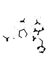 CC(=O)OC[C@H]1O[C@@H](n2c(=O)n(Cc3ccsc3)c3cnc(N)nc32)[C@H](OC(C)=O)[C@@H]1F